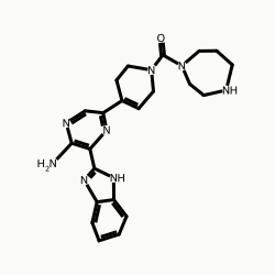 Nc1ncc(C2=CCN(C(=O)N3CCCNCC3)CC2)nc1-c1nc2ccccc2[nH]1